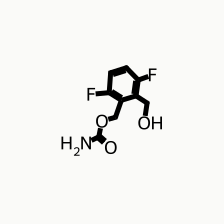 NC(=O)OCc1c(F)ccc(F)c1CO